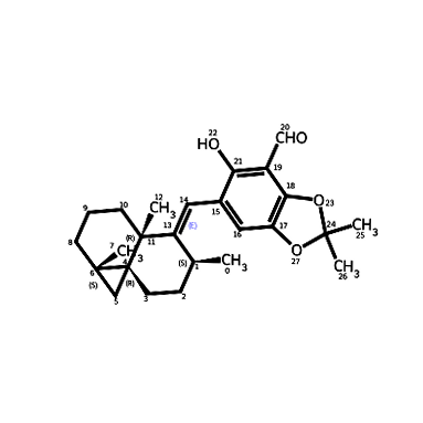 C[C@H]1CC[C@@]23C[C@]2(C)CCC[C@]3(C)/C1=C/c1cc2c(c(C=O)c1O)OC(C)(C)O2